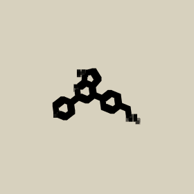 NCc1ccc(-c2cc(-c3ccncc3)nc3[nH]ccc23)cc1